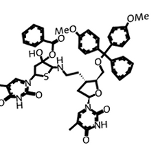 COc1ccc(C(OC[C@H]2O[C@@H](n3cc(C)c(=O)[nH]c3=O)C[C@@H]2CCNC2SC(n3cc(C)c(=O)[nH]c3=O)CC2(O)OC(=O)c2ccccc2)(c2ccccc2)c2ccc(OC)cc2)cc1